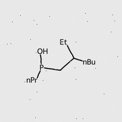 CCCCC(CC)CP(O)CCC